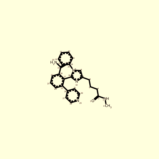 CNC(=O)CCCc1cn(-c2ccccc2)c(-c2c(C(N)=O)cccc2-c2ccncc2)n1